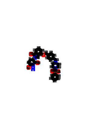 O=C1CCC(N2Cc3c(OCc4ccc(CN5CCN(S(=O)(=O)c6ccccc6)CC5)cc4)cccc3C2=O)C(=O)N1